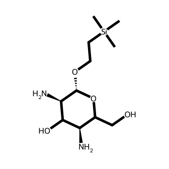 C[Si](C)(C)CCO[C@@H]1OC(CO)[C@@H](N)C(O)[C@H]1N